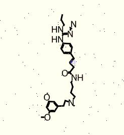 CCCNC(=NC#N)Nc1ccc(/C=C/CC(=O)NCCCCN(C)CCc2cc(OC)cc(OC)c2)cc1